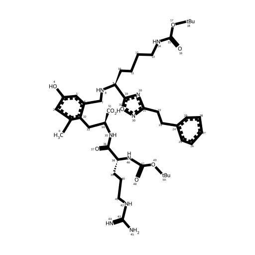 Cc1cc(O)cc(CN[C@@H](CCCCNC(=O)OC(C)(C)C)c2nc(CCc3ccccc3)no2)c1C[C@H](NC(=O)[C@@H](CCCNC(=N)N)NC(=O)OC(C)(C)C)C(=O)O